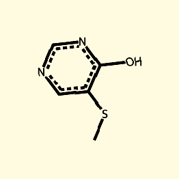 CSc1cncnc1O